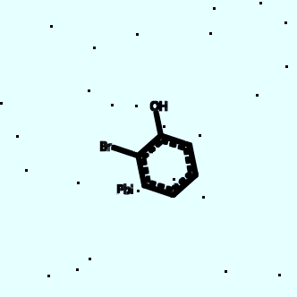 Oc1ccccc1Br.[Pb]